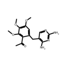 COc1cc(Cc2cnc(N)nc2N)c(C(C)=O)c(OC)c1OC